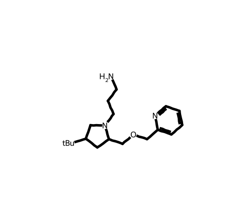 CC(C)(C)C1CC(COCc2ccccn2)N(CCCN)C1